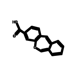 O=C(O)c1ccc2c(c1)OC=c1ccccc1=C2